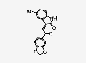 O=C1Nc2ccc(Br)cc2/C1=C/C(=O)c1ccc2c(c1)OCO2